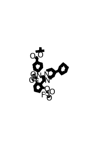 CC(C)(C)OC(=O)c1ccc(N(c2c(-c3ccccc3OS(=O)(=O)F)nc3cc(-c4ccccc4)ccn23)S(=O)(=O)F)cc1